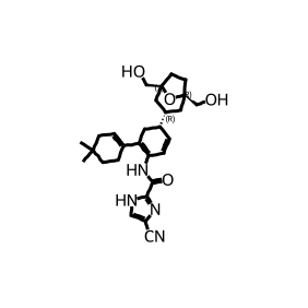 CC1(C)CC=C(C2=C(NC(=O)c3nc(C#N)c[nH]3)C=CC([C@@H]3C[C@]4(CO)CC[C@](CO)(C3)O4)C2)CC1